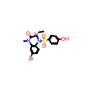 CC[C@H]1C(=O)N(C)c2cc(Br)ccc2N1S(=O)(=O)c1ccc(O)cc1